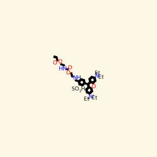 C=CC(=O)OCCNC(=O)OCCNCc1ccc(-c2c3ccc(=[N+](CC)CC)cc-3oc3cc(N(CC)CC)ccc23)c(S(=O)(=O)O)c1